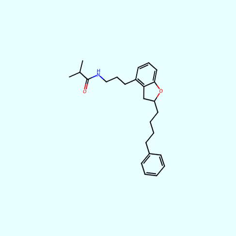 CC(C)C(=O)NCCCc1cccc2c1CC(CCCCc1ccccc1)O2